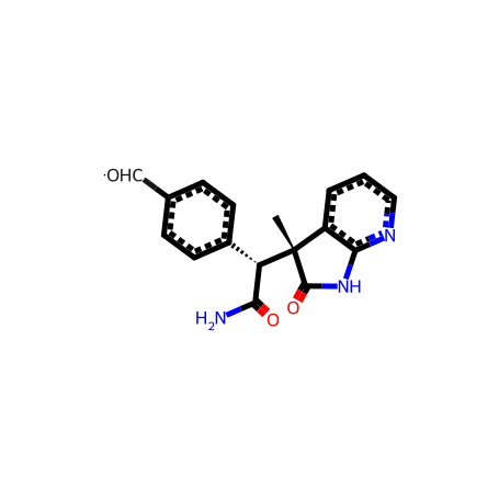 C[C@]1([C@H](C(N)=O)c2ccc([C]=O)cc2)C(=O)Nc2ncccc21